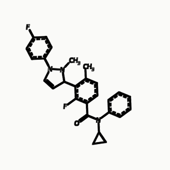 Cc1ccc(C(=O)N(c2ccccc2)C2CC2)c(F)c1C1C=CN(c2ccc(F)cc2)N1C